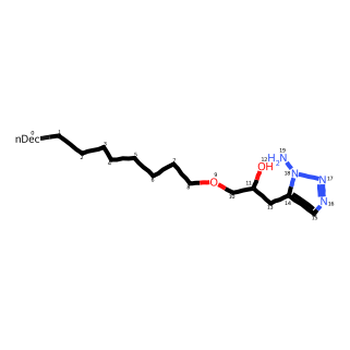 CCCCCCCCCCCCCCCCCCOCC(O)Cc1cnnn1N